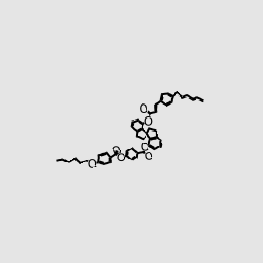 CCCCCCOc1ccc(C(=O)Oc2ccc(C(=O)Oc3cccc4c3[C@@]3(CCc5cccc(OC(=O)/C=C/c6ccc(CCCCCC)cc6)c53)CC4)cc2)cc1